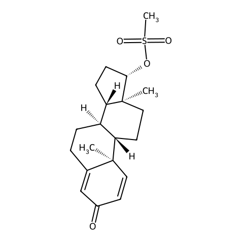 C[C@]12CC[C@H]3[C@@H](CCC4=CC(=O)C=C[C@@]43C)[C@@H]1CC[C@@H]2OS(C)(=O)=O